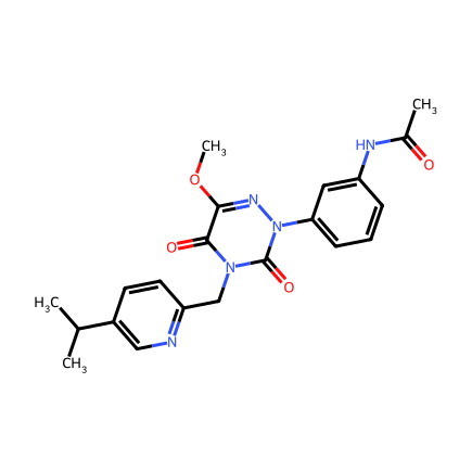 COc1nn(-c2cccc(NC(C)=O)c2)c(=O)n(Cc2ccc(C(C)C)cn2)c1=O